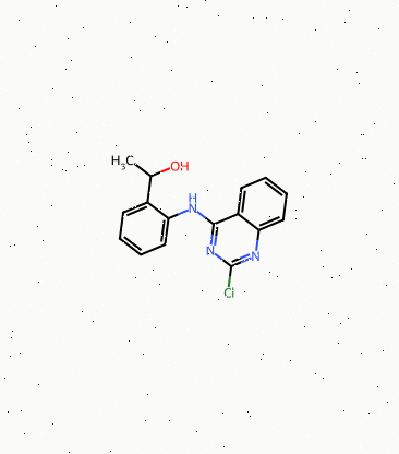 CC(O)c1ccccc1Nc1nc(Cl)nc2ccccc12